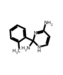 Cc1ccccc1C1(N)N=C(N)C=CN1